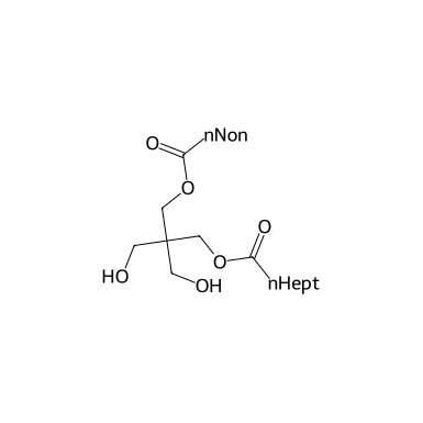 CCCCCCCCCC(=O)OCC(CO)(CO)COC(=O)CCCCCCC